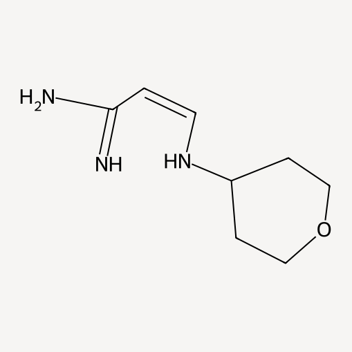 N=C(N)/C=C\NC1CCOCC1